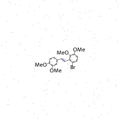 COc1ccc(/C=C/c2c(Br)ccc(OC)c2OC)cc1OC